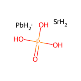 O=P(O)(O)O.[PbH2].[SrH2]